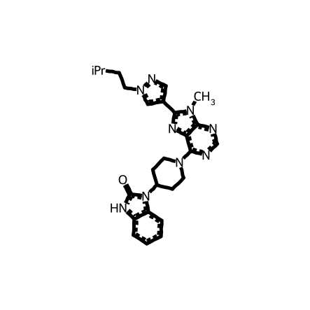 CC(C)CCn1cc(-c2nc3c(N4CCC(n5c(=O)[nH]c6ccccc65)CC4)ncnc3n2C)cn1